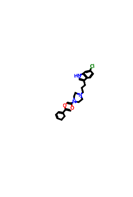 Clc1ccc2c(CCCN3CCN(C4=COC(C5=CC=CCC5)=CO4)CC3)c[nH]c2c1